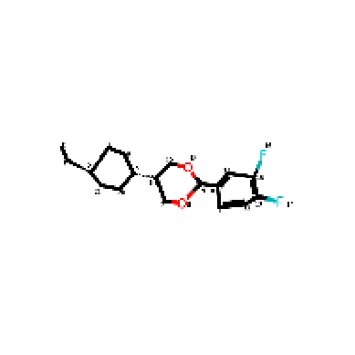 CC[C@H]1CC[C@H](C2COC(c3ccc(F)c(F)c3)OC2)CC1